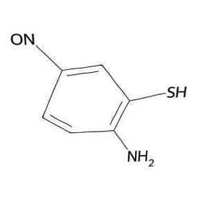 Nc1ccc(N=O)cc1S